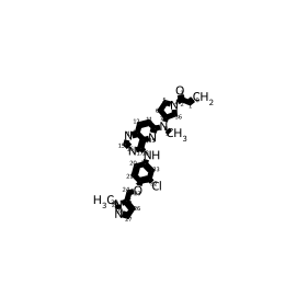 C=CC(=O)N1CCC(N(C)c2ccc3ncnc(Nc4ccc(OCc5ccnn5C)c(Cl)c4)c3n2)C1